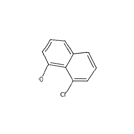 [O]c1cccc2cccc(Cl)c12